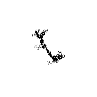 CC(c1ccc(-c2cn([C@H]3CC[C@H](O)CC3)c3nc(NCCC(F)(F)F)ncc23)cc1)N1CCN(CCCCOCCCc2ccc3c(c2)n(C)c(=O)n3C2CCC(=O)NC2=O)CC1